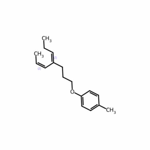 C/C=C\C(=C/CC)CCCOc1ccc(C)cc1